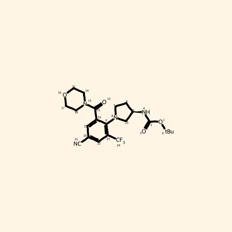 CC(C)(C)OC(=O)N[C@@H]1CCN(c2c(C(=O)N3CCOCC3)cc(C#N)cc2C(F)(F)F)C1